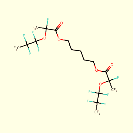 O=C(OCCCCCOC(=O)C(F)(OC(F)(F)C(F)(F)C(F)(F)F)C(F)(F)F)C(F)(OC(F)(F)C(F)(F)C(F)(F)F)C(F)(F)F